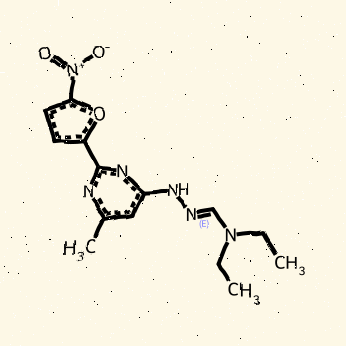 CCN(/C=N/Nc1cc(C)nc(-c2ccc([N+](=O)[O-])o2)n1)CC